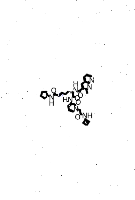 Cc1nc2ncccc2cc1C(=O)N[C@@H](CC/C=C/C(=O)NC1CCCC1)C(=O)Nc1cccn(CC(=O)NC23CC(C2)C3)c1=O